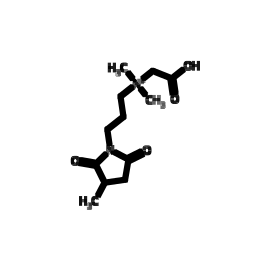 CC1CC(=O)N(CCC[N+](C)(C)CC(=O)O)C1=O